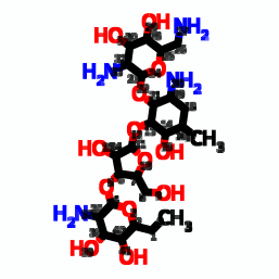 CCC1OC(OC2C(CO)OC(OC3C(O)C(C)CC(N)C3OC3OC(CN)C(O)C(O)C3N)C2O)C(N)C(O)C1O